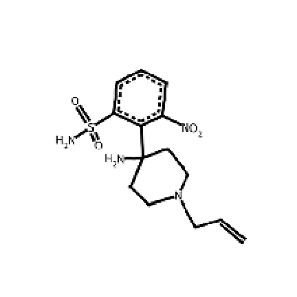 C=CCN1CCC(N)(c2c([N+](=O)[O-])cccc2S(N)(=O)=O)CC1